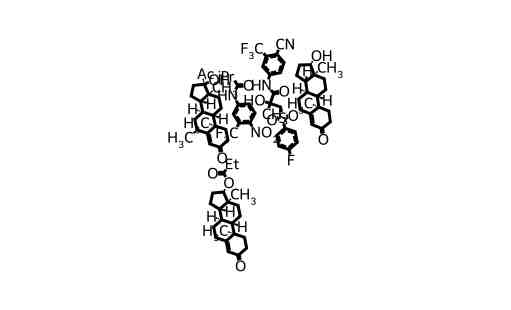 CC(=O)[C@@]1(O)CC[C@H]2[C@@H]3C[C@H](C)C4=CC(=O)CC[C@]4(C)[C@H]3CC[C@@]21C.CC(C)C(=O)Nc1ccc([N+](=O)[O-])c(C(F)(F)F)c1.CC(O)(CS(=O)(=O)c1ccc(F)cc1)C(=O)Nc1ccc(C#N)c(C(F)(F)F)c1.CCC(=O)O[C@H]1CC[C@H]2[C@@H]3CCC4=CC(=O)CC[C@]4(C)[C@H]3CC[C@]12C.C[C@]12CC[C@H]3[C@@H](CCC4=CC(=O)CC[C@@]43C)[C@@H]1CC[C@@H]2O